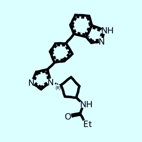 CCC(=O)NC1CC[C@@H](n2cncc2-c2ccc(-c3cccc4[nH]ncc34)cc2)C1